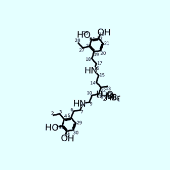 Br.Br.CCc1c(CCNCCCC(C)CCNCCc2ccc(O)c(O)c2CC)ccc(O)c1O.O